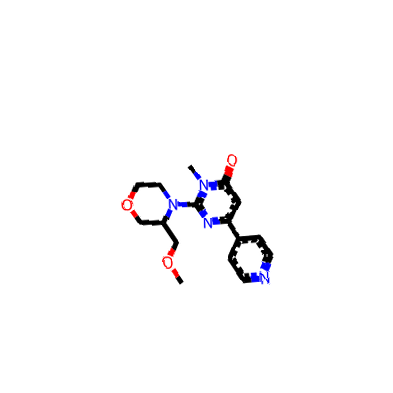 COCC1COCCN1c1nc(-c2ccncc2)cc(=O)n1C